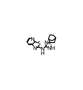 c1cnc2sc(NC3=N[C@]4(CN3)CC3CCC4CC3)nc2c1